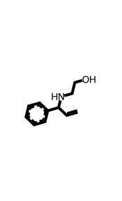 C=CC(NCCO)c1ccccc1